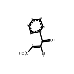 CCC(=CC(=O)O)C(=O)c1ccccc1